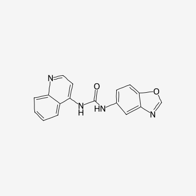 O=C(Nc1ccc2ocnc2c1)Nc1ccnc2ccccc12